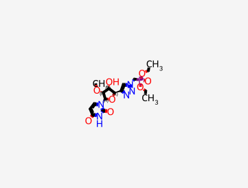 CCOP(=O)(Cn1cc([C@H]2O[C@@H](n3ccc(=O)[nH]c3=O)[C@H](OC)[C@@H]2O)nn1)OCC